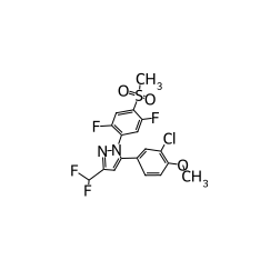 COc1ccc(-c2cc(C(F)F)nn2-c2cc(F)c(S(C)(=O)=O)cc2F)cc1Cl